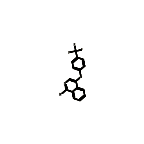 FC(F)(F)c1ccc(Oc2cnc(Br)c3ccccc23)cc1